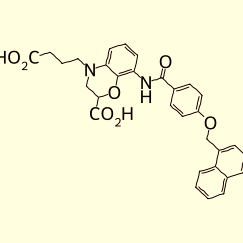 O=C(O)CCCN1CC(C(=O)O)Oc2c(NC(=O)c3ccc(OCc4cccc5ccccc45)cc3)cccc21